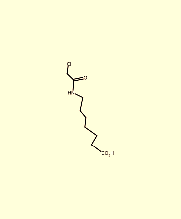 O=C(O)CCCCCCNC(=O)CCl